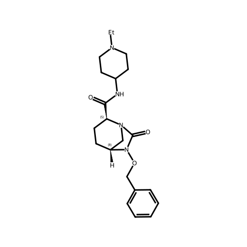 CCN1CCC(NC(=O)[C@@H]2CC[C@@H]3CN2C(=O)N3OCc2ccccc2)CC1